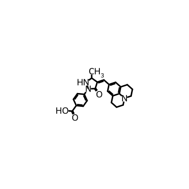 CC1NN(c2ccc(C(=O)O)cc2)C(=O)/C1=C\c1cc2c3c(c1)CCCN3CCC2